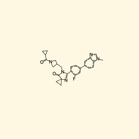 Cn1cnc2cc(-c3ccc(C4=NC5(CC5)C(=O)N4CC4CN(C(=O)C5CC5)C4)c(F)c3)ccc21